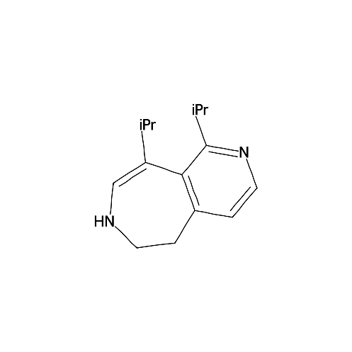 CC(C)C1=CNCCc2ccnc(C(C)C)c21